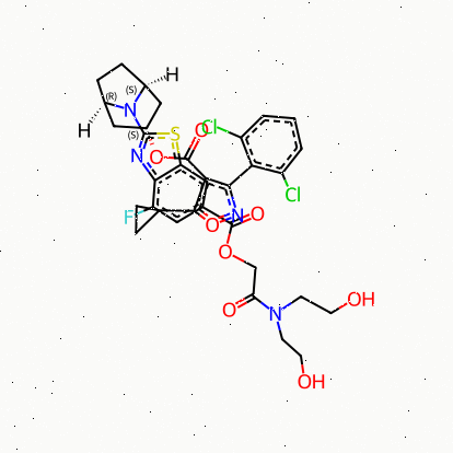 O=C(OCC(=O)N(CCO)CCO)c1cc(F)c2nc(N3[C@@H]4CC[C@H]3C[C@H](OC(=O)c3c(-c5c(Cl)cccc5Cl)noc3C3CC3)C4)sc2c1